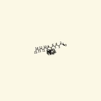 C#CCCCCCCCCCCCCCC.Cl.c1ccncc1